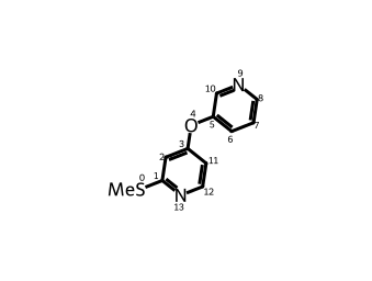 CSc1[c]c(Oc2cccnc2)ccn1